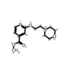 COC(=O)c1ccnc(OCCN2CCOCC2)c1